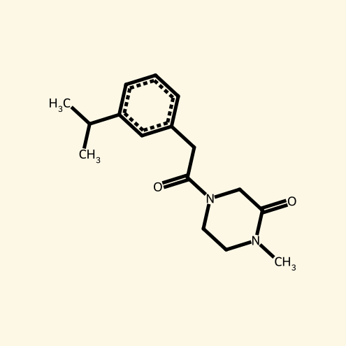 CC(C)c1cccc(CC(=O)N2CCN(C)C(=O)C2)c1